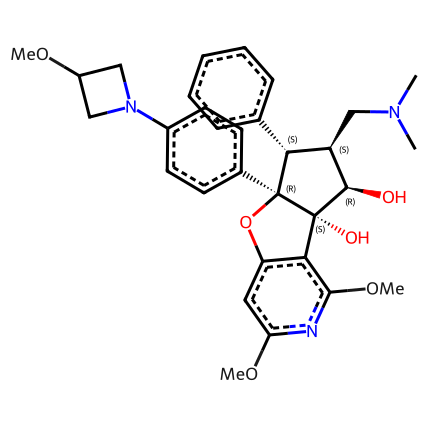 COc1cc2c(c(OC)n1)[C@]1(O)[C@H](O)[C@H](CN(C)C)[C@@H](c3ccccc3)[C@]1(c1ccc(N3CC(OC)C3)cc1)O2